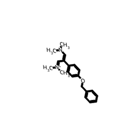 CN(C)/C=C(\C=[N+](C)C)c1ccc(OCc2ccccc2)cc1